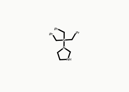 CC(C)C[Si](CC(C)C)(CC(C)C)N1CCNC1